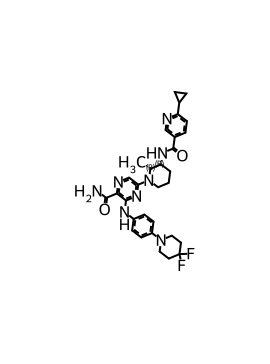 C[C@@H]1[C@H](NC(=O)c2ccc(C3CC3)nc2)CCCN1c1cnc(C(N)=O)c(Nc2ccc(N3CCC(F)(F)CC3)cc2)n1